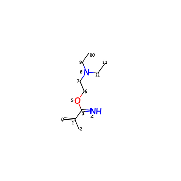 C=C(C)C(=N)OCCN(CC)CC